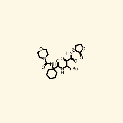 CCCCC(NC(=O)C1(NC(=O)N2CCOCC2)CCCCC1)C(=O)C(=O)N[C@H]1CCOC1=O